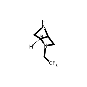 FC(F)(F)CN1CC2NC[C@@H]21